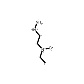 CC[N+](Br)CCNN